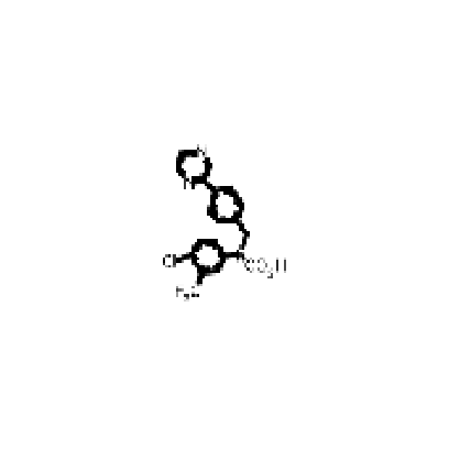 O=C(O)N(Cc1ccc(-c2cnccn2)cc1)c1ccc(Cl)c(C(F)(F)F)c1